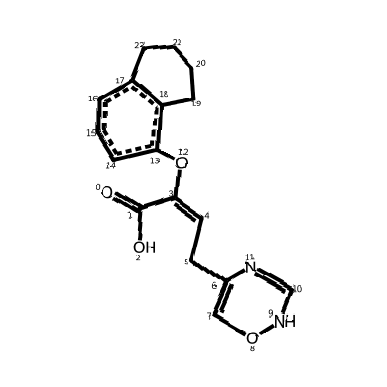 O=C(O)C(=CCC1=CONC=N1)Oc1cccc2c1CCCC2